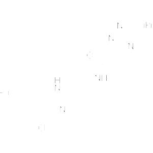 CC(C)c1nnc2c(C(=O)NCCc3nc4c(Cl)cc(C(F)(F)F)cc4[nH]3)cccn12